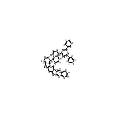 c1ccc(-c2nc(-c3ccccc3)nc(-c3cccc4c(-c5cccc6oc7cc8sc9cc%10ccccc%10cc9c8cc7c56)cccc34)n2)cc1